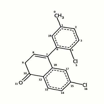 Cc1ccc(Cl)c(C2=CCC(=O)c3ccc(Cl)cc32)c1